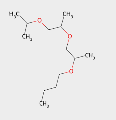 CCCCOC(C)COC(C)CO[C](C)C